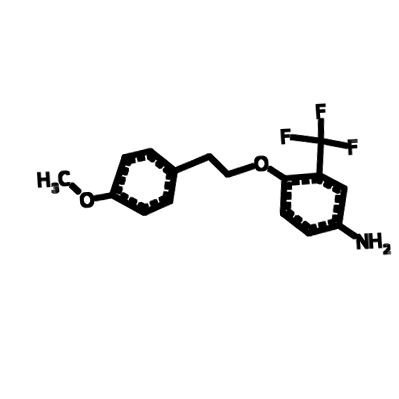 COc1ccc(CCOc2ccc(N)cc2C(F)(F)F)cc1